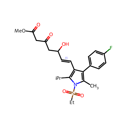 CCS(=O)(=O)n1c(C)c(-c2ccc(F)cc2)c(/C=C/C(O)CC(=O)CC(=O)OC)c1C(C)C